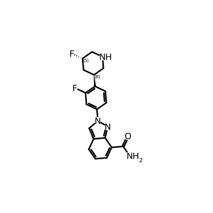 NC(=O)c1cccc2cn(-c3ccc([C@@H]4CNC[C@@H](F)C4)c(F)c3)nc12